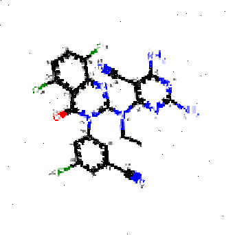 CCN(c1nc(N)nc(N)c1C#N)c1nc2c(F)ccc(Cl)c2c(=O)n1-c1cc(F)cc(C#N)c1